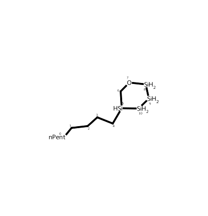 CCCCCCCCC[SiH]1CO[SiH2][SiH2][SiH2]1